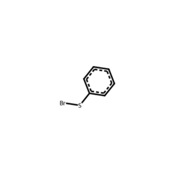 BrSc1ccccc1